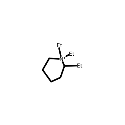 CCC1CCCC[N+]1(CC)CC